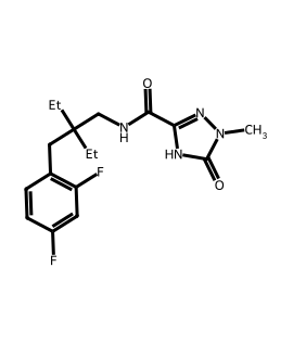 CCC(CC)(CNC(=O)c1nn(C)c(=O)[nH]1)Cc1ccc(F)cc1F